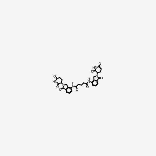 O=C1CCC(N2Cc3c(NC(=O)CCCC(=O)Nc4cccc5c4CN(C4CCC(=O)NC4=O)C5=O)cccc3C2=O)C(=O)N1